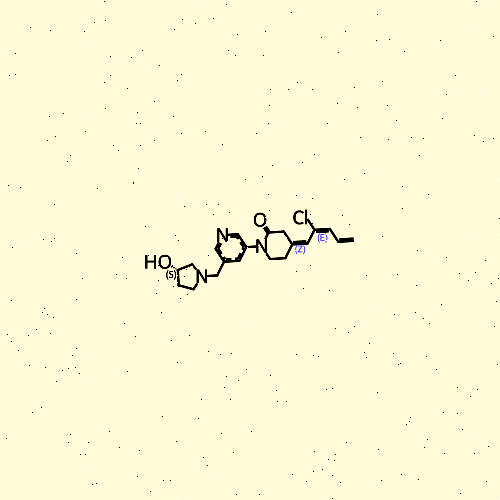 C=C/C=C(Cl)\C=C1\CCN(c2cncc(CN3CC[C@H](O)C3)c2)C(=O)C1